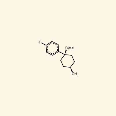 CO[C@]1(c2ccc(F)cc2)CC[C@H](O)CC1